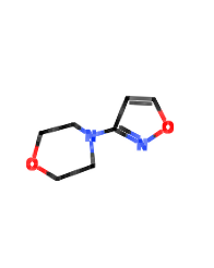 c1cc(N2CCOCC2)no1